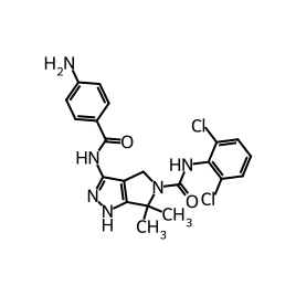 CC1(C)c2[nH]nc(NC(=O)c3ccc(N)cc3)c2CN1C(=O)Nc1c(Cl)cccc1Cl